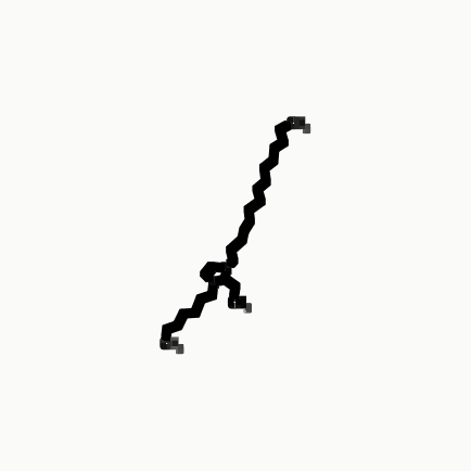 CCCCCCCCCCCCCCCN1C=CN(CCCCCCC)C1CC